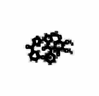 COc1cccc(C(=O)c2csc([C@@H]3CCCN3C(=O)[C@@H](NC(=O)[C@H](C)N(C)C(=O)OC(C)(C)C)C3CCCCC3)n2)c1